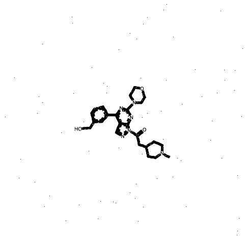 CN1CCC(CC(=O)n2ncc3c(-c4cccc(CO)c4)nc(N4CCOCC4)nc32)CC1